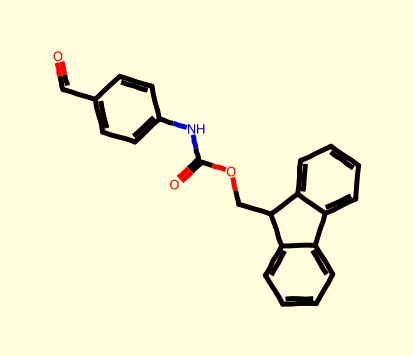 O=Cc1ccc(NC(=O)OCC2c3ccccc3-c3ccccc32)cc1